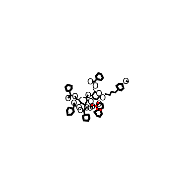 COc1ccc(CCCCO[C@@H]2O[C@H](COC(=O)c3ccccc3)[C@@H](O[C@H](C)[C@H](OC(=O)c3ccccc3)[C@@H](OC(=O)c3ccccc3)[C@@H](OC(=O)c3ccccc3)[C@H](C)COC(=O)c3ccccc3)C[C@H]2OC(=O)c2ccccc2)cc1